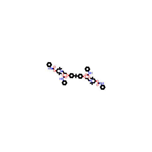 CC(C)(c1ccc(OCC(CN2C(C)(C)CC(OC(=O)Nc3ccccc3)CC2(C)C)OC(=O)Nc2ccccc2)cc1)c1ccc(OCC(CN2C(C)(C)CC(OC(=O)Nc3ccccc3)CC2(C)C)OC(=O)Nc2ccccc2)cc1